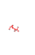 C1=CC(C2=CC(C3CC=CCC3)CC(N3C4C=CC(C5=CC=C6C(C5)c5ccccc5N6C5CCCC(C6C=CCCC6)C5)=CC4C4C=CCCC43)C2)=CCC1